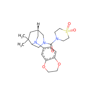 CC1(C)C[C@@H]2CN(C(=O)N3CCS(=O)(=O)CC3)CC1N(c1ccc3c(c1)OCCO3)C2